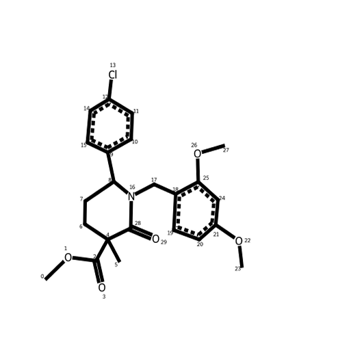 COC(=O)C1(C)CCC(c2ccc(Cl)cc2)N(Cc2ccc(OC)cc2OC)C1=O